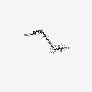 C[C@@H](NC(=O)CC[C@H](NC(=O)COCCOCCNC(=O)CCCS(=O)(=O)NC(=O)CC1CC(CS(=O)(=O)O)C1)C(=O)O)C(=O)O